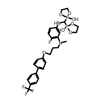 CN(CCCOc1ccc(-c2ccc(C(F)(F)F)cc2)cc1)c1cc(NC([P]2(O)OCCO2)[P]2(O)OCCO2)ccc1F